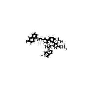 Cc1nn(C)c(C)c1-c1c(Cl)ccc2c(CCCOc3cccc4cc(F)ccc34)c(C)n(CCN3CCC4CNCC43)c12